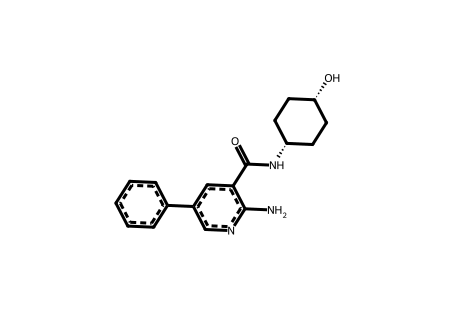 Nc1ncc(-c2ccccc2)cc1C(=O)N[C@H]1CC[C@@H](O)CC1